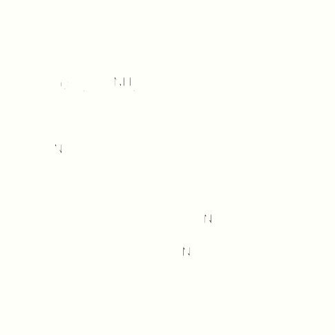 Cc1c(-c2cc(C(N)=O)nc3ccccc23)cnn1-c1ccccc1